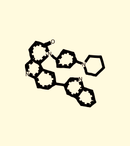 O=c1ccc2cnc3ccc(-c4cnc5ccccc5c4)cc3c2n1-c1ccc(N2CCCCC2)cc1